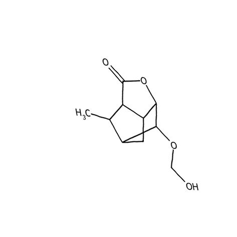 CC1C2CC3C(OC(=O)C13)C2OCO